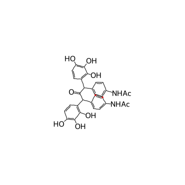 CC(=O)Nc1ccc(C(C(=O)C(c2ccc(NC(C)=O)cc2)c2ccc(O)c(O)c2O)c2ccc(O)c(O)c2O)cc1